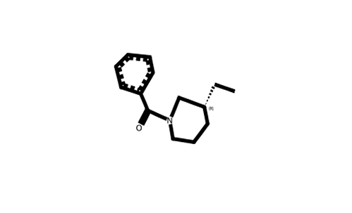 CC[C@@H]1CCCN(C(=O)c2ccccc2)C1